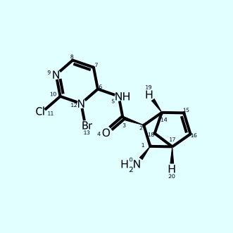 N[C@H]1[C@@H](C(=O)NC2C=CN=C(Cl)N2Br)[C@@H]2C=C[C@H]1C2